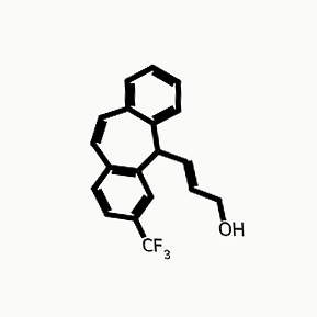 OCC=CC1c2ccccc2C=Cc2ccc(C(F)(F)F)cc21